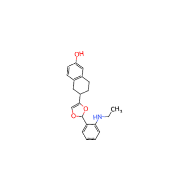 CCNc1ccccc1C1OC=C(C2CCc3cc(O)ccc3C2)O1